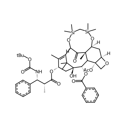 CC(=O)O[C@@]12CO[C@@H]1C[C@@H]1O[Si](C)(C)C[Si](C)(C)O[C@H]3C(=O)[C@@]1(C)C2[C@H](OC(=O)c1ccccc1)[C@]1(O)C[C@H](OC(=O)[C@H](C)[C@@H](NC(=O)OC(C)(C)C)c2ccccc2)C(C)=C3C1(C)C